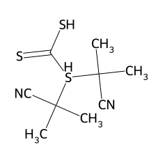 CC(C)(C#N)[SH](C(=S)S)C(C)(C)C#N